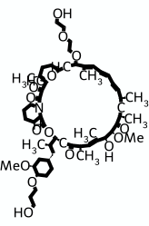 CO[C@@H]1C[C@H](C[C@@H](C)[C@@H]2CC(=O)[C@H](C)/C=C(\C)[C@@H](O)[C@@H](OC)C(=O)[C@H](C)C[C@H](C)/C=C/C=C/C=C(\C)C(OCCOCCO)C[C@@H]3CC[C@@H](C)[C@@](O)(O3)C(=O)C(=O)N3CCCC[C@H]3C(=O)O2)CC[C@H]1OCCCO